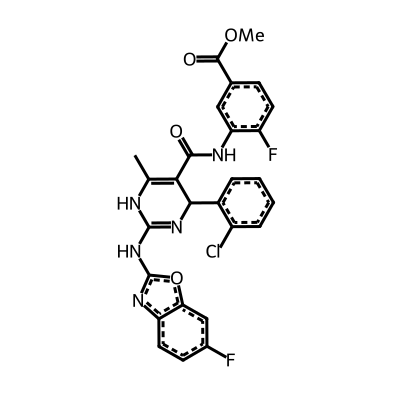 COC(=O)c1ccc(F)c(NC(=O)C2=C(C)NC(Nc3nc4ccc(F)cc4o3)=NC2c2ccccc2Cl)c1